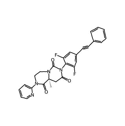 C[C@@]12CC(=O)N(c3c(F)cc(C#Cc4ccccc4)cc3F)C(=O)N1CCN(c1ccccn1)C2=O